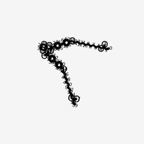 C=CC(=O)OCCCCCCCCCCOc1ccc(-c2ccc(C(=O)O[C@H]3OCCO[C@@H]3OC(=O)c3ccc(-c4ccc(OCCCCCCCCCCOC(=O)C=C)cc4)cc3)cc2)cc1